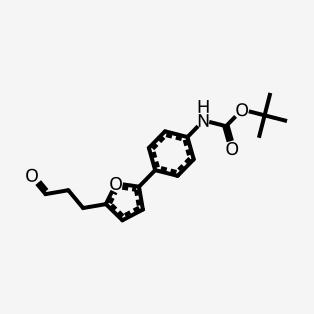 CC(C)(C)OC(=O)Nc1ccc(-c2ccc(CCC=O)o2)cc1